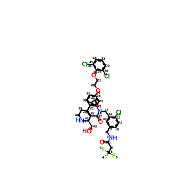 O=C(CC(F)(F)F)NCc1ccc(Cl)c(CN(C(=O)C2=C(c3ccc(OCCOc4c(Cl)cccc4Cl)cc3)CCN[C@@H]2CO)C2CC2)c1